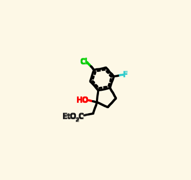 CCOC(=O)CC1(O)CCc2c(F)cc(Cl)cc21